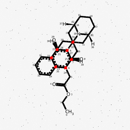 CCOC(=O)Cn1c(=O)n(C2C[C@H]3CCC[C@@H](C2)N3C2C[C@H]3CCC[C@@H](C2)C3)c(=O)c2ccccc21